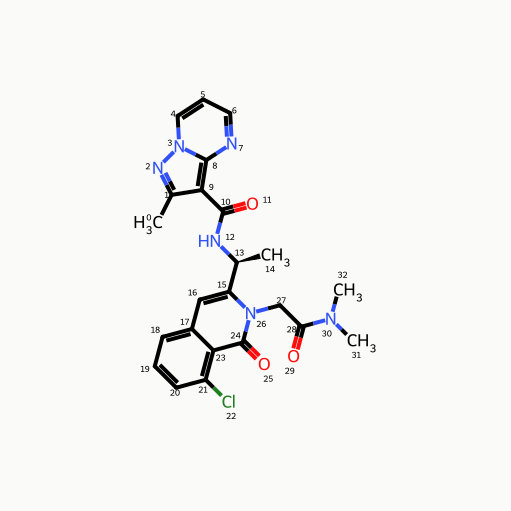 Cc1nn2cccnc2c1C(=O)N[C@@H](C)c1cc2cccc(Cl)c2c(=O)n1CC(=O)N(C)C